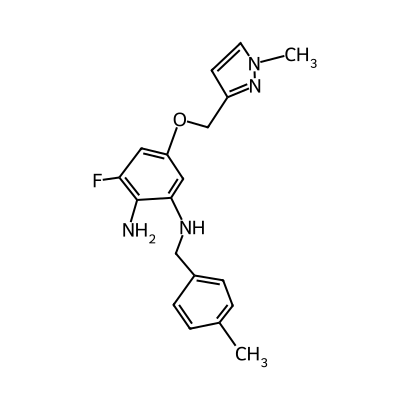 Cc1ccc(CNc2cc(OCc3ccn(C)n3)cc(F)c2N)cc1